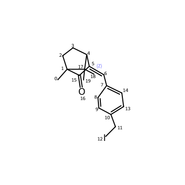 CC12CCC(/C(=C/c3ccc(CI)cc3)C1=O)C2(C)C